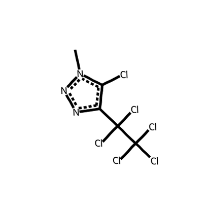 Cn1nnc(C(Cl)(Cl)C(Cl)(Cl)Cl)c1Cl